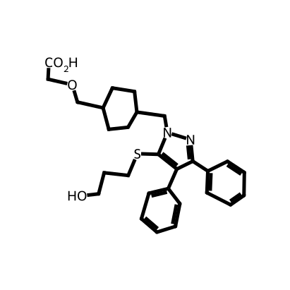 O=C(O)COCC1CCC(Cn2nc(-c3ccccc3)c(-c3ccccc3)c2SCCCO)CC1